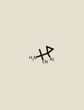 CC(=O)C1(C(C)(N)C#N)CC1